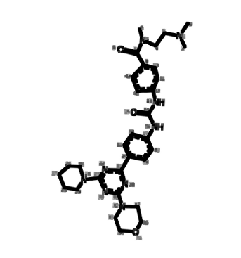 CN(C)CCN(C)C(=O)c1ccc(NC(=O)Nc2ccc(-c3nc(N4CCCCC4)nc(N4CCOCC4)n3)cc2)cc1